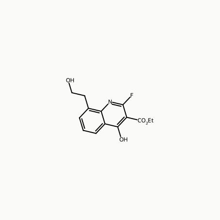 CCOC(=O)c1c(F)nc2c(CCO)cccc2c1O